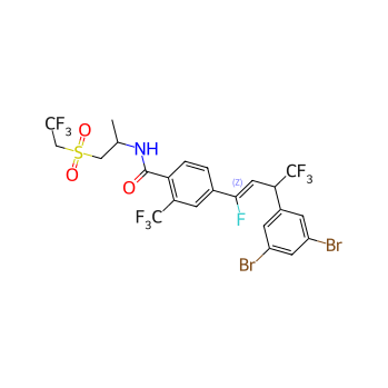 CC(CS(=O)(=O)CC(F)(F)F)NC(=O)c1ccc(/C(F)=C/C(c2cc(Br)cc(Br)c2)C(F)(F)F)cc1C(F)(F)F